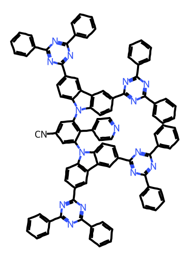 [C-]#[N+]c1cc(-n2c3ccc(-c4nc(-c5ccccc5)nc(-c5ccccc5)n4)cc3c3cc(-c4nc(-c5ccccc5)nc(-c5ccccc5)n4)ccc32)c(-c2ccncc2)c(-n2c3ccc(-c4nc(-c5ccccc5)nc(-c5ccccc5)n4)cc3c3cc(-c4nc(-c5ccccc5)nc(-c5ccccc5)n4)ccc32)c1